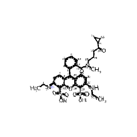 CC/N=c1\ccc2c(-c3ccccc3C(=O)N(C)CCCC(=O)C3CC3)c3ccc(NCC)c(S(=O)(=O)O)c3oc-2c1S(=O)(=O)O